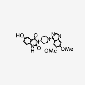 COc1cc2ncnc(N3CCC(n4c(=O)[nH]c5ccc(O)cc5c4=O)CC3)c2cc1OC